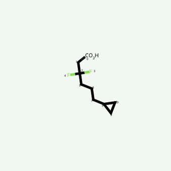 O=C(O)CC(F)(F)CCCC1CC1